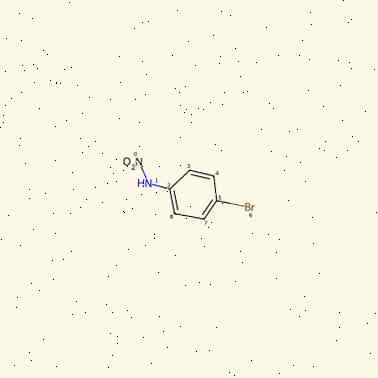 O=[N+]([O-])Nc1ccc(Br)cc1